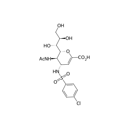 CC(=O)N[C@H]1[C@H]([C@H](O)[C@H](O)CO)OC(C(=O)O)=C[C@@H]1NS(=O)(=O)c1ccc(Cl)cc1